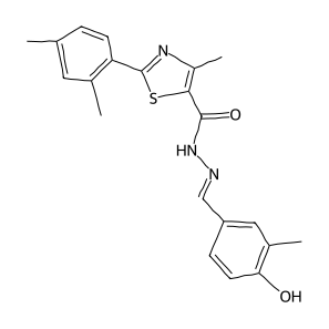 Cc1ccc(-c2nc(C)c(C(=O)N/N=C/c3ccc(O)c(C)c3)s2)c(C)c1